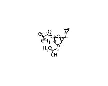 CC(C)CC(COCC1CC1)NC(=O)[C@H]1O[C@@H]1C(=O)O